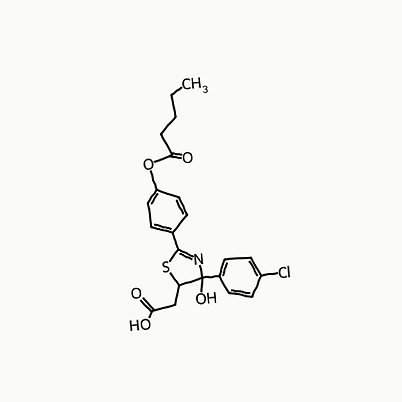 CCCCC(=O)Oc1ccc(C2=NC(O)(c3ccc(Cl)cc3)C(CC(=O)O)S2)cc1